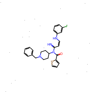 N=C(/C=C\Nc1cccc(F)c1)N(C(=O)c1cccs1)C1CCN(Cc2ccccc2)CC1